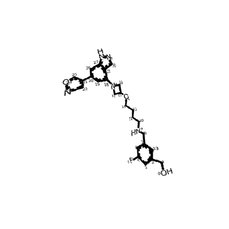 OCc1cc(F)cc(CNCCCCOC2CN(c3cc(-c4cnoc4)cc4[nH]ncc34)C2)c1